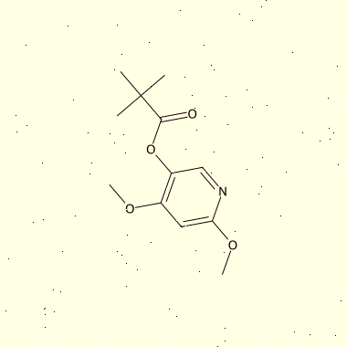 COc1cc(OC)c(OC(=O)C(C)(C)C)cn1